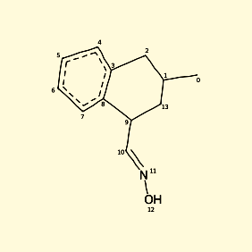 CC1Cc2ccccc2C(C=NO)C1